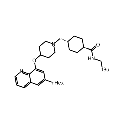 CCCCCCc1cc(OC2CCN(C[C@H]3CC[C@H](C(=O)NCC(C)(C)C)CC3)CC2)c2ncccc2c1